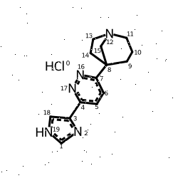 Cl.c1nc(-c2ccc(C34CCCN(CC3)C4)nn2)c[nH]1